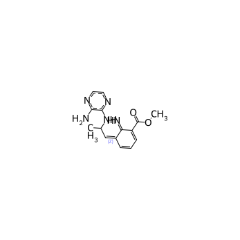 COC(=O)C1=CC=C/C(=C/C(C)Nc2nccnc2N)C1=N